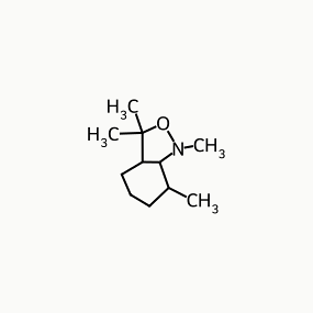 CC1CCCC2C1N(C)OC2(C)C